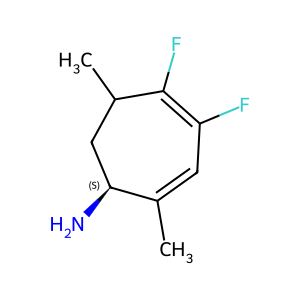 CC1=CC(F)=C(F)C(C)C[C@@H]1N